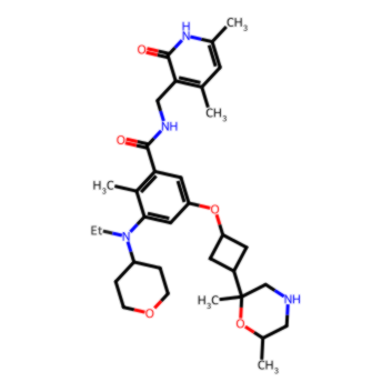 CCN(c1cc(OC2CC(C3(C)CNCC(C)O3)C2)cc(C(=O)NCc2c(C)cc(C)[nH]c2=O)c1C)C1CCOCC1